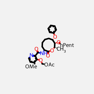 CCCCCO[C@H]1[C@H](C)OC(=O)[C@@H](NC(=O)c2nccc(OC)c2OCOC(C)=O)CCCC[C@@H]1Oc1ccccc1